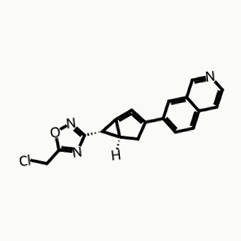 ClCc1nc([C@@H]2C3=C=C(c4ccc5ccncc5c4)C[C@H]32)no1